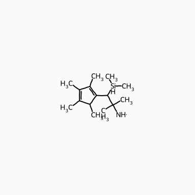 CC1=C(C)C(C)C(C([SiH](C)C)C(C)(C)[NH])=C1C